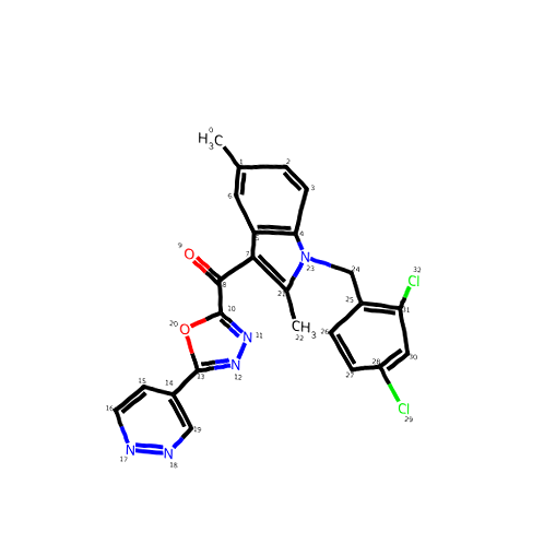 Cc1ccc2c(c1)c(C(=O)c1nnc(-c3ccnnc3)o1)c(C)n2Cc1ccc(Cl)cc1Cl